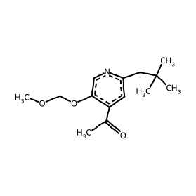 COCOc1cnc(CC(C)(C)C)cc1C(C)=O